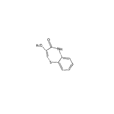 CC(=O)OC1=CSc2ccccc2NC1=O